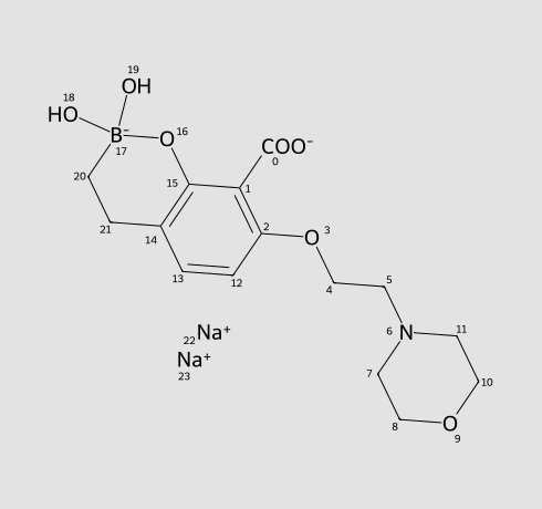 O=C([O-])c1c(OCCN2CCOCC2)ccc2c1O[B-](O)(O)CC2.[Na+].[Na+]